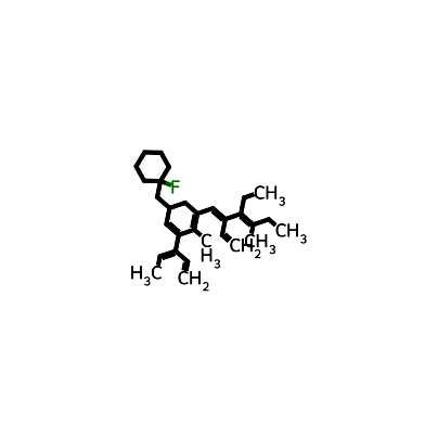 C=C/C(=C\C)C1=CC(CC2(F)CCCCC2)CC(/C=C(C=C)/C(CC)=C(\C)CC)=C1C